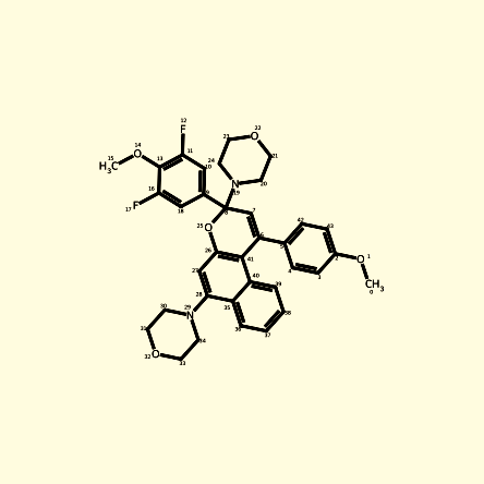 COc1ccc(C2=CC(c3cc(F)c(OC)c(F)c3)(N3CCOCC3)Oc3cc(N4CCOCC4)c4ccccc4c32)cc1